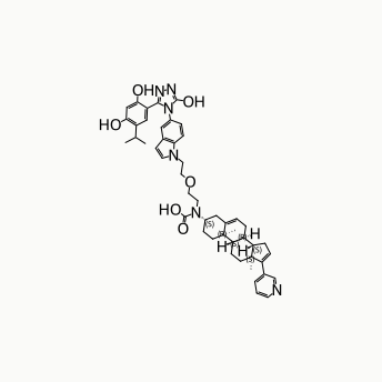 CC(C)c1cc(-c2nnc(O)n2-c2ccc3c(ccn3CCOCCN(C(=O)O)[C@H]3CC[C@@]4(C)C(=CC[C@@H]5[C@@H]4CC[C@]4(C)C(c6cccnc6)=CC[C@@H]54)C3)c2)c(O)cc1O